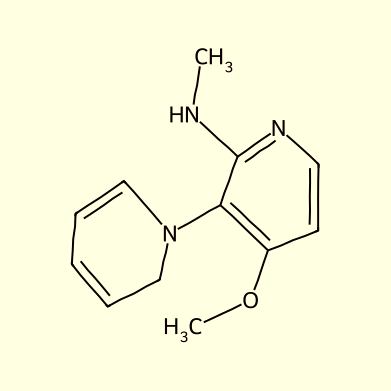 CNc1nccc(OC)c1N1C=CC=CC1